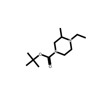 CCN1CCN(C(=O)OC(C)(C)C)CC1C